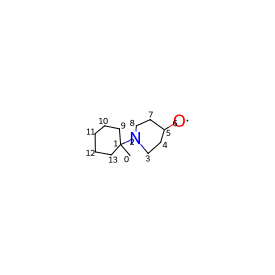 CC1(N2CCC([O])CC2)CCCCC1